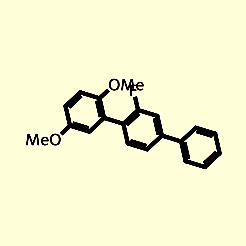 COc1ccc(OC)c(-c2ccc(-c3ccccc3)cc2F)c1